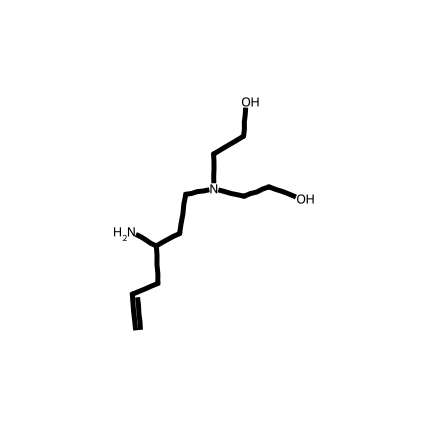 C=CCC(N)CCN(CCO)CCO